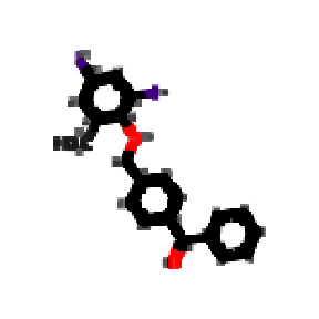 O=C(c1ccccc1)c1ccc(COc2c(I)cc(I)cc2C(=O)O)cc1